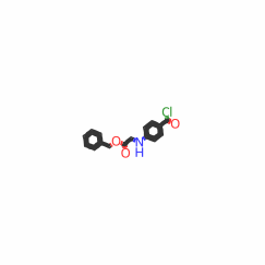 O=C(CNc1ccc(C(=O)Cl)cc1)OCc1ccccc1